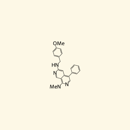 CNc1ncc(-c2ccccc2)c2cc(NCc3ccc(OC)cc3)ncc12